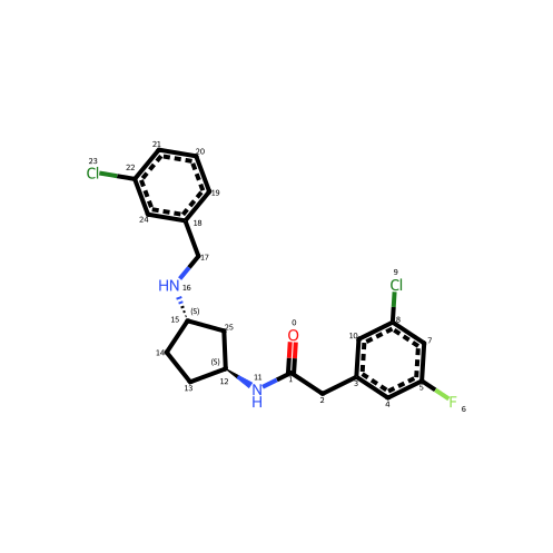 O=C(Cc1cc(F)cc(Cl)c1)N[C@H]1CC[C@H](NCc2cccc(Cl)c2)C1